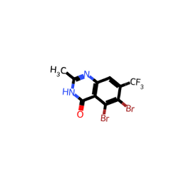 Cc1nc2cc(C(F)(F)F)c(Br)c(Br)c2c(=O)[nH]1